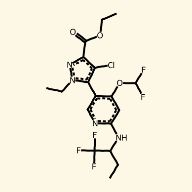 CCOC(=O)c1nn(CC)c(-c2cnc(NC(CC)C(F)(F)F)cc2OC(F)F)c1Cl